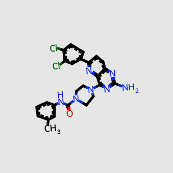 Cc1cccc(NC(=O)N2CCN(c3nc(N)nc4ccc(-c5ccc(Cl)c(Cl)c5)nc34)CC2)c1